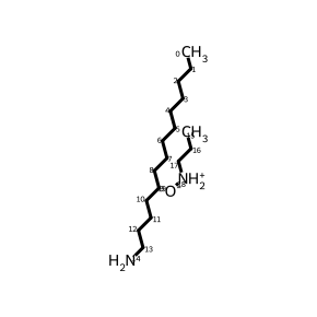 CCCCCCCCCCCCCCN.CCC[NH2+][O-]